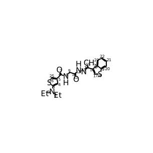 CCN(CC)c1cc(C(=O)NCC(=O)N/N=C(\C)c2csc3ccccc23)cs1